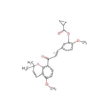 COc1ccc(/C=C/C(=O)c2ccc(OC)c3c2OC(C)(C)C=C3)cc1OC(=O)C1CC1